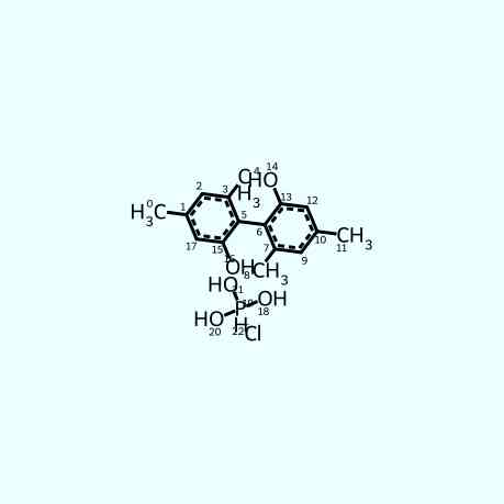 Cc1cc(C)c(-c2c(C)cc(C)cc2O)c(O)c1.O[PH](O)(O)Cl